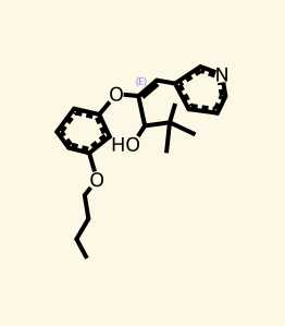 CCCCOc1cccc(O/C(=C/c2cccnc2)C(O)C(C)(C)C)c1